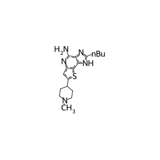 CCCCc1nc2c(N)nc3cc(C4CCN(C)CC4)sc3c2[nH]1